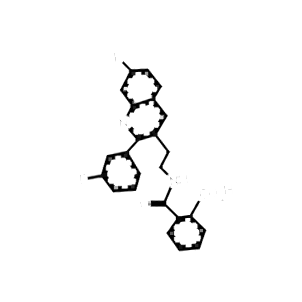 O=C(O)c1ccccc1C(=O)NCCc1cc2ccc(F)cc2nc1-c1cccc(F)c1